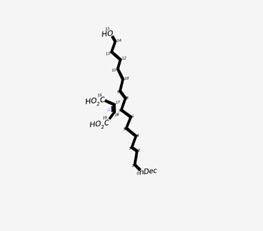 CCCCCCCCCCCCCCCCCCCCCCCCO.O=C(O)/C=C\C(=O)O